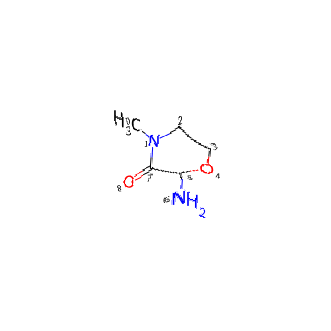 CN1CCOC(N)C1=O